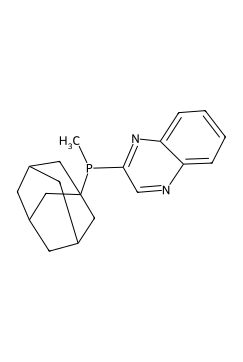 CP(c1cnc2ccccc2n1)C12CC3CC(CC(C3)C1)C2